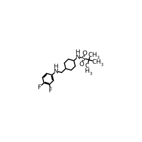 CC(C)(C)S(=O)(=O)NC1CCC(CNc2ccc(F)c(F)c2)CC1